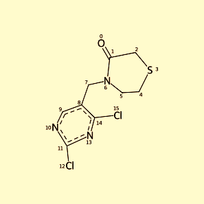 O=C1CSCCN1Cc1cnc(Cl)nc1Cl